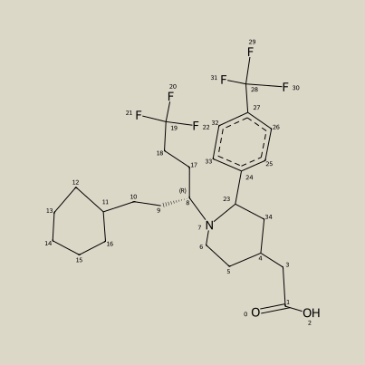 O=C(O)CC1CCN([C@H](CCC2CCCCC2)CCC(F)(F)F)C(c2ccc(C(F)(F)F)cc2)C1